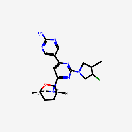 CC1CN(c2nc(-c3cnc(N)nc3)cc(N3C[C@@H]4CC[C@H]3CO4)n2)CC1F